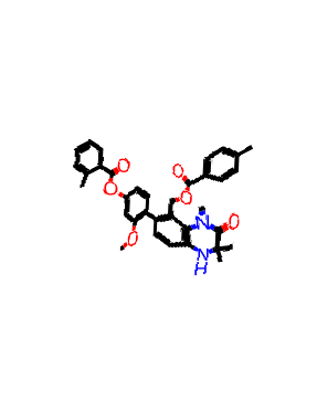 COc1cc(OC(=O)c2ccccc2C)ccc1-c1ccc2c(c1COC(=O)c1ccc(C)cc1)N(C)C(=O)C(C)(C)N2